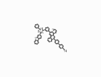 N#Cc1ccc(-c2ccc(-c3cc4c5cccnc5c(-c5cccc(-c6nc(-c7ccccc7)nc(-c7ccc8c(c7)sc7ccccc78)n6)c5)cc4c4ccccc34)cc2)cc1